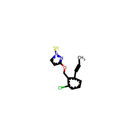 CC#Cc1cccc(Cl)c1COc1ccn(S)n1